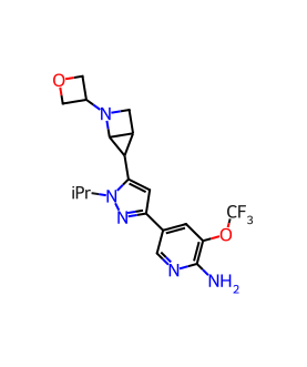 CC(C)n1nc(-c2cnc(N)c(OC(F)(F)F)c2)cc1C1C2CN(C3COC3)C21